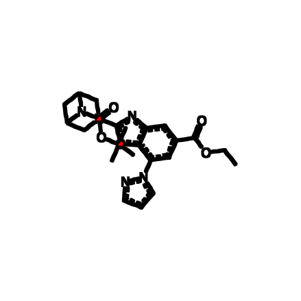 CCOC(=O)c1cc(-n2cccn2)c2oc(N3CC4CC(C3)N4C(=O)OC(C)(C)C)nc2c1